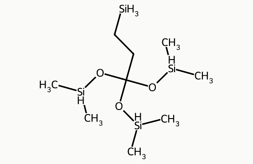 C[SiH](C)OC(CC[SiH3])(O[SiH](C)C)O[SiH](C)C